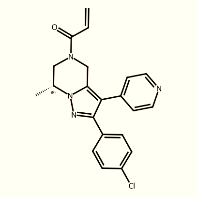 C=CC(=O)N1Cc2c(-c3ccncc3)c(-c3ccc(Cl)cc3)nn2[C@H](C)C1